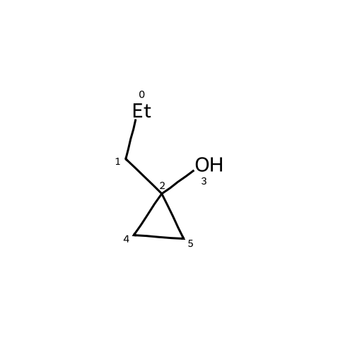 [CH2]CCC1(O)CC1